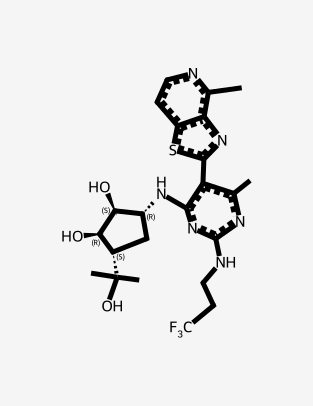 Cc1nc(NCCC(F)(F)F)nc(N[C@@H]2C[C@H](C(C)(C)O)[C@@H](O)[C@H]2O)c1-c1nc2c(C)nccc2s1